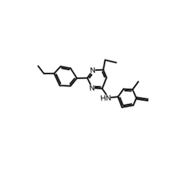 C=C1C=C=C(Nc2cc(CC)nc(-c3ccc(CC)cc3)n2)C=C1C